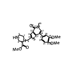 COC(=O)C1CNCCN1Cc1cc2c(=O)n(C)cc(-c3ccc(OC)c(OC)c3)c2s1